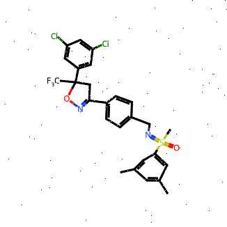 Cc1cc(C)cc(S(C)(=O)=NCc2ccc(C3=NOC(c4cc(Cl)cc(Cl)c4)(C(F)(F)F)C3)cc2)c1